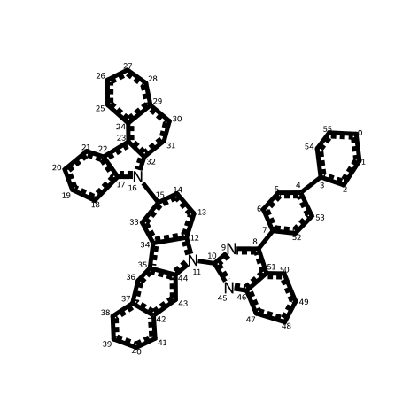 c1ccc(-c2ccc(-c3nc(-n4c5ccc(-n6c7ccccc7c7c8ccccc8ccc76)cc5c5cc6ccccc6cc54)nc4ccccc34)cc2)cc1